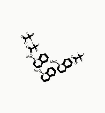 CO[n+]1cccc2ccccc21.CO[n+]1cccc2ccccc21.CO[n+]1cccc2ccccc21.O=C([O-])C(F)(F)F.O=C([O-])C(F)(F)F.O=C([O-])C(F)(F)F